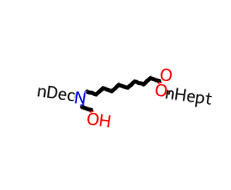 CCCCCCCCCCN(CCO)CCCCCCCCCC(=O)OCCCCCCC